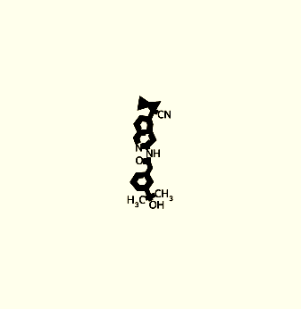 CC(C)(O)c1cccc(CC(=O)Nc2cc3cc(C4(C#N)CC45CC5)ccc3cn2)c1